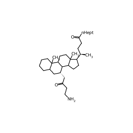 CCCCCCCC(=O)CC[C@@H](C)C1CCC2C3C(CCC21C)C1(C)CCCCC1C[C@H]3CC(=O)CCN